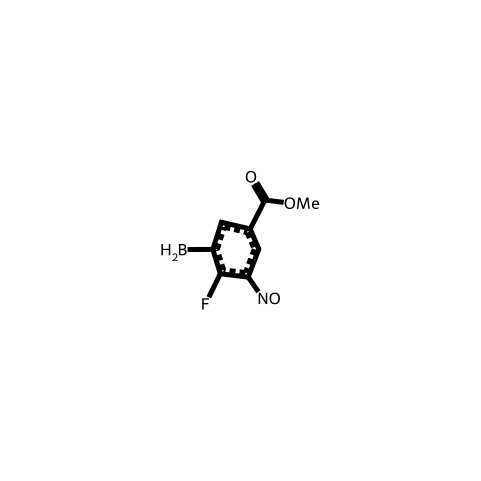 Bc1cc(C(=O)OC)cc(N=O)c1F